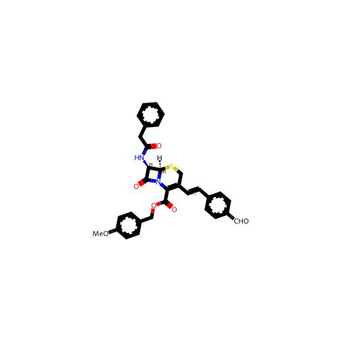 COc1ccc(COC(=O)C2=C(/C=C/c3ccc(C=O)cc3)CS[C@@H]3[C@H](NC(=O)Cc4ccccc4)C(=O)N23)cc1